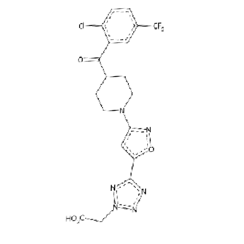 O=C(O)Cn1nnc(-c2cc(N3CCC(C(=O)c4cc(C(F)(F)F)ccc4Cl)CC3)no2)n1